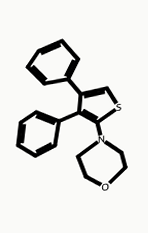 c1ccc(-c2csc(N3CCOCC3)c2-c2ccccc2)cc1